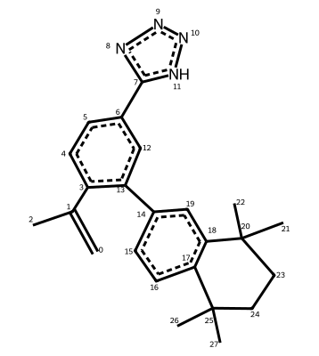 C=C(C)c1ccc(-c2nnn[nH]2)cc1-c1ccc2c(c1)C(C)(C)CCC2(C)C